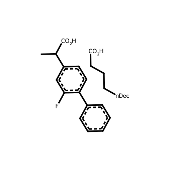 CC(C(=O)O)c1ccc(-c2ccccc2)c(F)c1.CCCCCCCCCCCCCC(=O)O